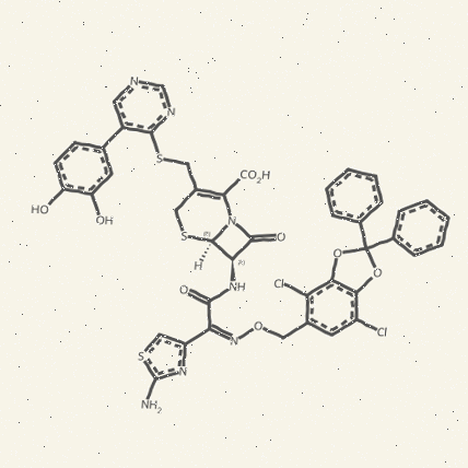 Nc1nc(C(=NOCc2cc(Cl)c3c(c2Cl)OC(c2ccccc2)(c2ccccc2)O3)C(=O)N[C@@H]2C(=O)N3C(C(=O)O)=C(CSc4ncncc4-c4ccc(O)c(O)c4)CS[C@H]23)cs1